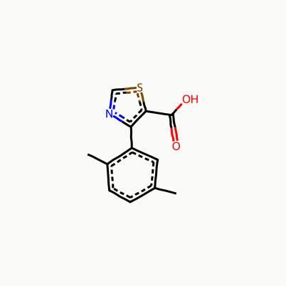 Cc1ccc(C)c(-c2ncsc2C(=O)O)c1